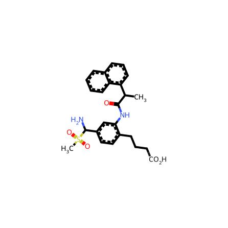 CC(C(=O)Nc1cc(C(N)S(C)(=O)=O)ccc1CCCC(=O)O)c1cccc2ccccc12